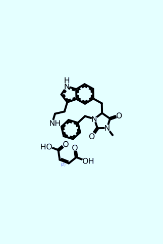 CN1C(=O)C(Cc2ccc3[nH]cc(CCN)c3c2)N(Cc2ccccc2)C1=O.O=C(O)/C=C\C(=O)O